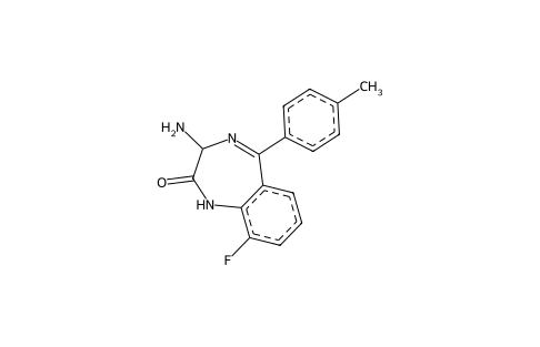 Cc1ccc(C2=NC(N)C(=O)Nc3c(F)cccc32)cc1